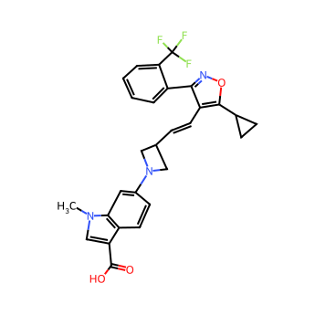 Cn1cc(C(=O)O)c2ccc(N3CC(C=Cc4c(-c5ccccc5C(F)(F)F)noc4C4CC4)C3)cc21